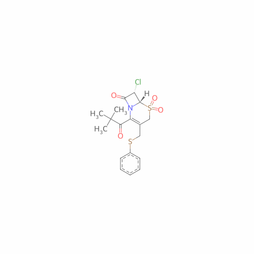 CC(C)(C)C(=O)C1=C(CSc2ccccc2)CS(=O)(=O)[C@H]2[C@@H](Cl)C(=O)N12